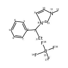 CCC(c1ccccc1)[n+]1ccn(C)c1.F[B-](F)(F)F